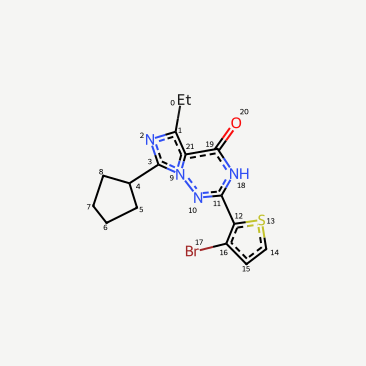 CCc1nc(C2CCCC2)n2nc(-c3sccc3Br)[nH]c(=O)c12